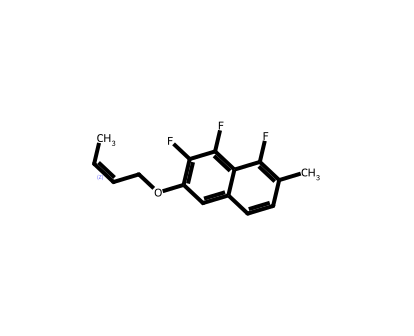 C/C=C\COc1cc2ccc(C)c(F)c2c(F)c1F